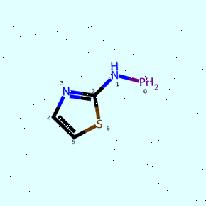 PNc1nccs1